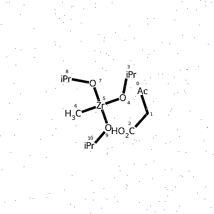 CC(=O)CC(=O)O.CC(C)[O][Zr]([CH3])([O]C(C)C)[O]C(C)C